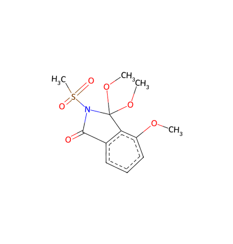 COc1cccc2c1C(OC)(OC)N(S(C)(=O)=O)C2=O